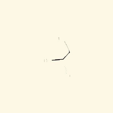 [CH2]C[C@H](O)CCC